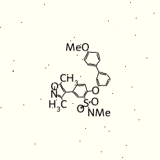 CNS(=O)(=O)c1cc(-c2c(C)noc2C)ccc1Oc1cccc(-c2ccc(OC)cc2)c1